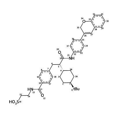 CC(C)(C)[C@H]1CC[C@H](C(Cc2ccc(C(=O)NCCS(=O)(=O)O)cc2)C(=O)Nc2ccc(C3=Cc4ccccc4OC3)cc2)CC1